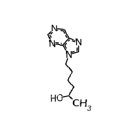 CC(O)CCCCn1cnc2cncnc21